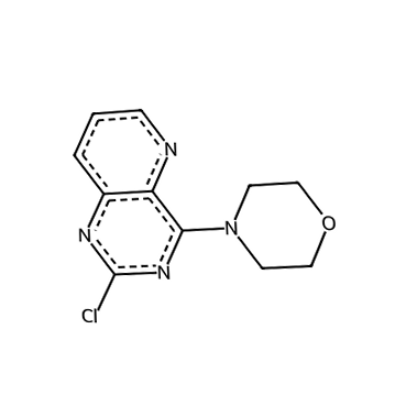 Clc1nc(N2CCOCC2)c2ncccc2n1